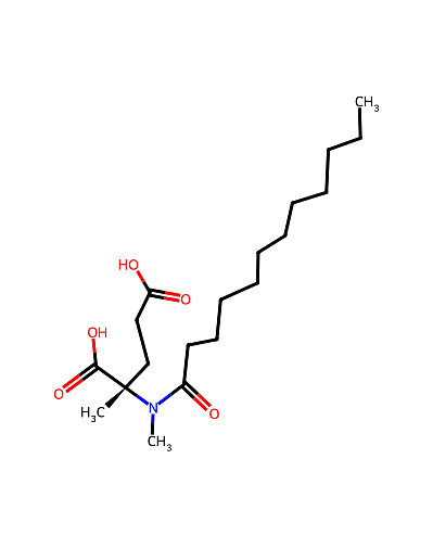 CCCCCCCCCCCC(=O)N(C)[C@@](C)(CCC(=O)O)C(=O)O